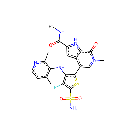 CCNC(=O)c1cc2c(-c3sc(S(N)(=O)=O)c(F)c3Nc3c(C)ccnc3C)cn(C)c(=O)c2[nH]1